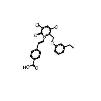 CCc1cccc(OCc2c(Cl)cc(Cl)c(=O)n2/C=C/c2ccc(C(=O)O)cc2)c1